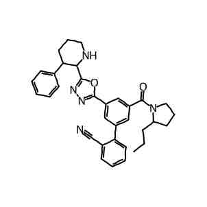 CCCC1CCCN1C(=O)c1cc(-c2nnc(C3NCCCC3c3ccccc3)o2)cc(-c2ccccc2C#N)c1